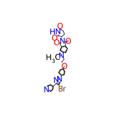 CN(CCOc1ccc(-n2cc(Br)c(-c3ccncc3)n2)cc1)c1ccc2c(c1)C(=O)N(C1CCC(=O)NC1=O)C2=O